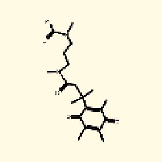 CC1=C(C)C(=O)C(C(C)(C)CC(=O)N(C)CCCN(C)C(=O)C(C)C)=C(C)C1=O